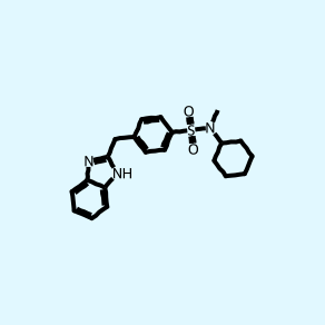 CN(C1CCCCC1)S(=O)(=O)c1ccc(Cc2nc3ccccc3[nH]2)cc1